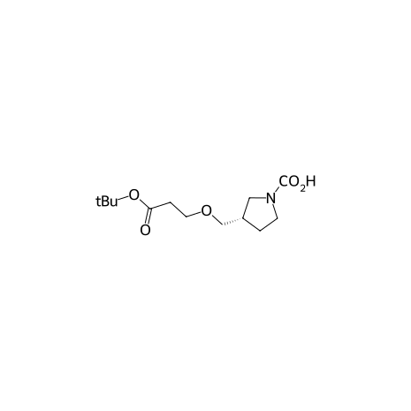 CC(C)(C)OC(=O)CCOC[C@H]1CCN(C(=O)O)C1